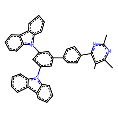 Cc1nc(C)c(C)c(-c2ccc(-c3cc(-n4c5ccccc5c5ccccc54)cc(-n4c5ccccc5c5ccccc54)c3)cc2)n1